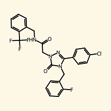 O=C(Cn1nc(-c2ccc(Cl)cc2)n(Cc2ccccc2F)c1=O)NCc1ccccc1C(F)(F)F